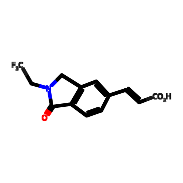 O=C(O)C=Cc1ccc2c(c1)CN(CC(F)(F)F)C2=O